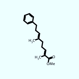 COC(=O)/C(C)=C/CC/C(C)=C/CCc1ccccc1